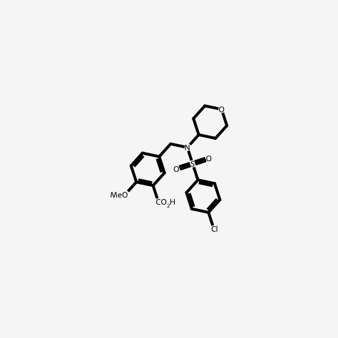 COc1ccc(CN(C2CCOCC2)S(=O)(=O)c2ccc(Cl)cc2)cc1C(=O)O